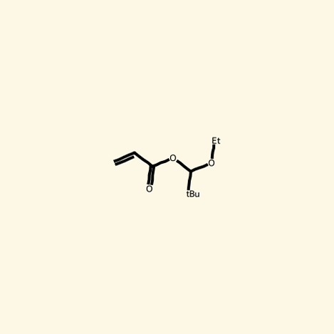 C=CC(=O)OC(OCC)C(C)(C)C